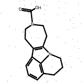 O=C(O)N1CCc2c(n3c4c(cccc24)CCC3)CC1